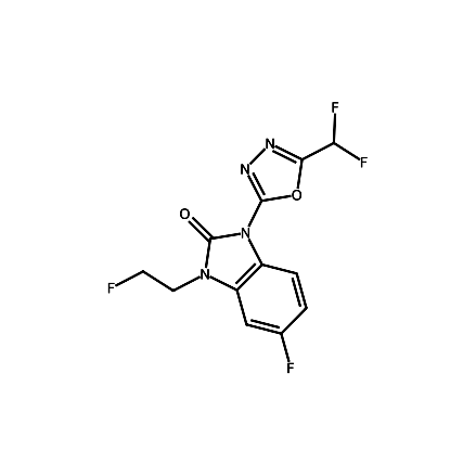 O=c1n(CCF)c2cc(F)ccc2n1-c1nnc(C(F)F)o1